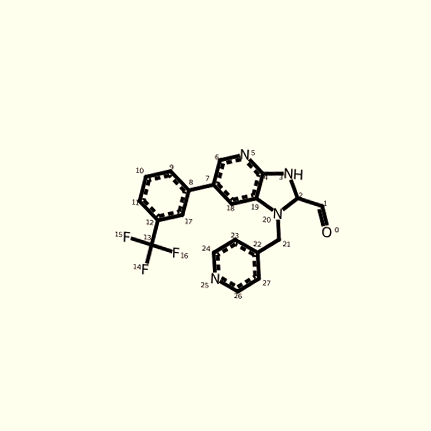 O=CC1Nc2ncc(-c3cccc(C(F)(F)F)c3)cc2N1Cc1ccncc1